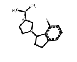 CN(C)[C@@H]1CCN(C2CCc3cccc(F)c32)C1